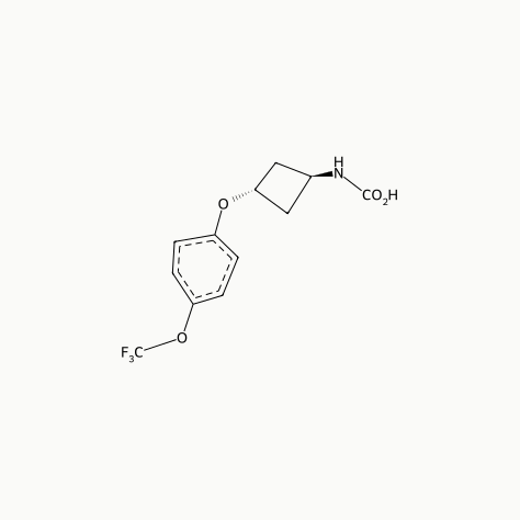 O=C(O)N[C@H]1C[C@H](Oc2ccc(OC(F)(F)F)cc2)C1